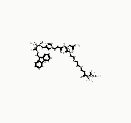 C[C@@H](C(=O)O)N(C)C(=O)CCOCCOCCNC(=O)[C@H](CC(N)=O)NC(=O)CCn1cnc(CN(C)N(C)C(=O)OCC2c3ccccc3-c3ccccc32)c1